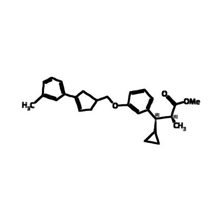 COC(=O)[C@@H](C)[C@H](c1cccc(OCC2CC=C(c3cccc(C)c3)C2)c1)C1CC1